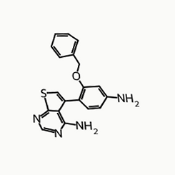 Nc1ccc(-c2csc3ncnc(N)c23)c(OCc2ccccc2)c1